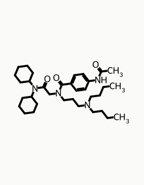 CCCCN(CCCC)CCCN(CC(=O)N(C1CCCCC1)C1CCCCC1)C(=O)c1ccc(NC(C)=O)cc1